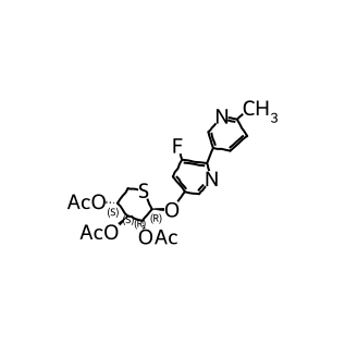 CC(=O)O[C@@H]1[C@@H](OC(C)=O)[C@H](OC(C)=O)CS[C@H]1Oc1cnc(-c2ccc(C)nc2)c(F)c1